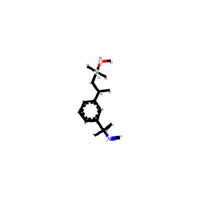 C=NC(C)(C)c1cccc(C(C)C[Si](C)(C)OC)c1